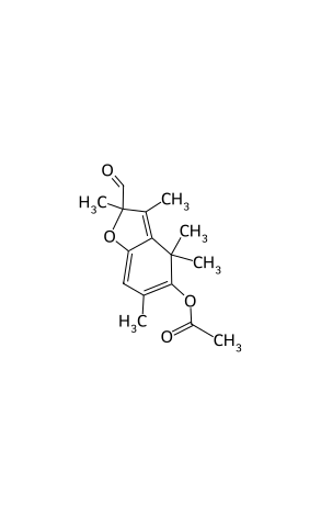 CC(=O)OC1=C(C)C=C2OC(C)(C=O)C(C)=C2C1(C)C